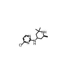 C=C1CC(Nc2nccc(Cl)n2)CC(C)(C)N1